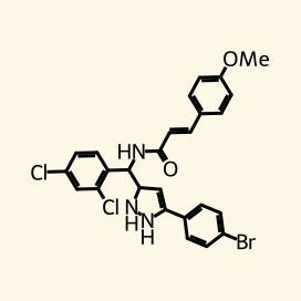 COc1ccc(C=CC(=O)NC(c2ccc(Cl)cc2Cl)C2C=C(c3ccc(Br)cc3)NN2)cc1